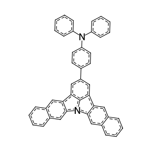 c1ccc(N(c2ccccc2)c2ccc(-c3cc4c5cc6ccccc6cc5n5c6cc7ccccc7cc6c(c3)c45)cc2)cc1